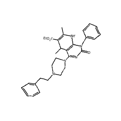 CCOC(=O)C1=C(C)Nc2c(c(N3CCN(CCc4ccccc4)CC3)nc(=O)n2-c2ccccc2)C1C